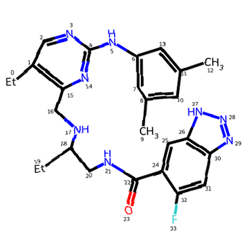 CCc1cnc(Nc2cc(C)cc(C)c2)nc1CNC(CC)CNC(=O)c1cc2[nH]nnc2cc1F